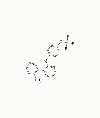 Cc1ccncc1-c1cccnc1Oc1ccc(OC(F)(F)F)cc1